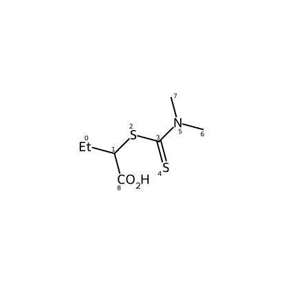 CCC(SC(=S)N(C)C)C(=O)O